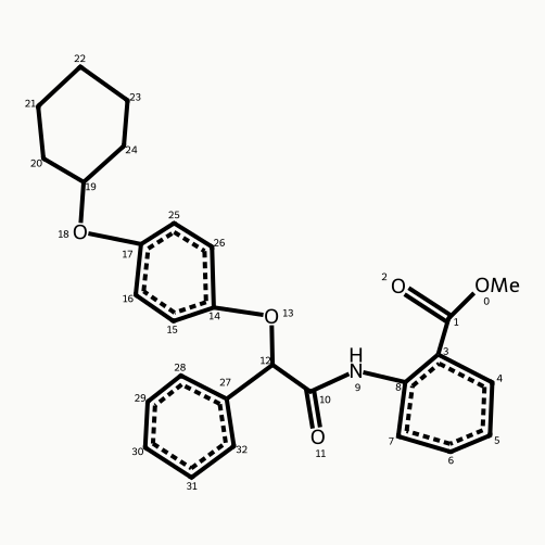 COC(=O)c1ccccc1NC(=O)C(Oc1ccc(OC2CCCCC2)cc1)c1ccccc1